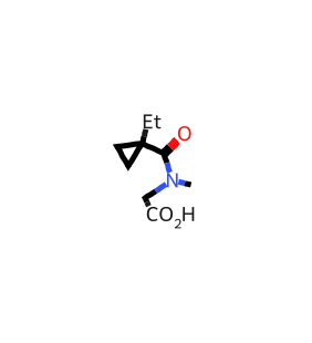 CCC1(C(=O)N(C)CC(=O)O)CC1